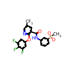 CS(=O)(=O)c1cccc(NC(=O)c2cc(C(F)(F)F)cnc2Oc2cc(F)c(F)c(F)c2)c1